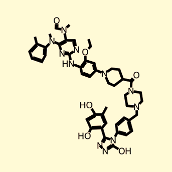 CCOc1cc(N2CCC(C(=O)N3CCN(Cc4ccc(-n5c(O)nnc5-c5cc(C)c(O)cc5O)cc4)CC3)CC2)ccc1Nc1ncc(N(C)C=O)c(N(C)c2ccccc2C)n1